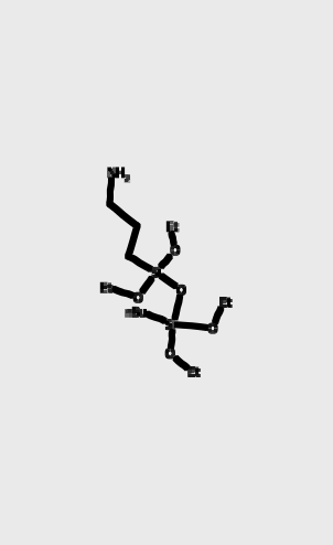 CCCC[Si](OCC)(OCC)O[Si](CCCN)(OCC)OCC